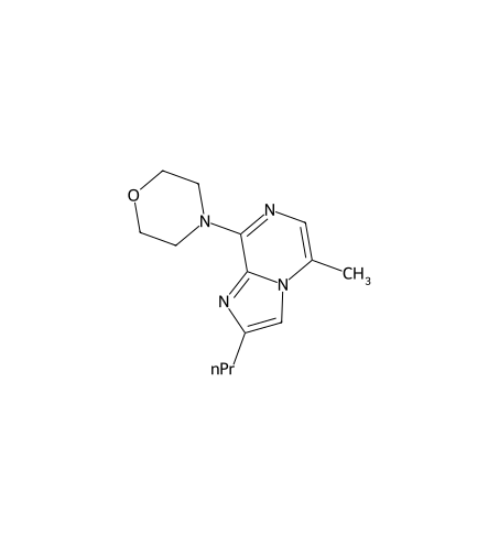 CCCc1cn2c(C)cnc(N3CCOCC3)c2n1